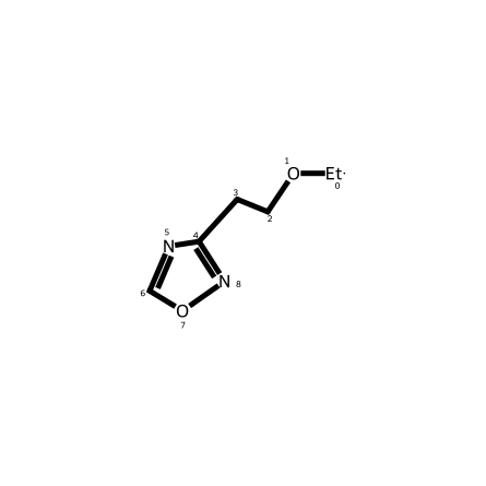 C[CH]OCCc1ncon1